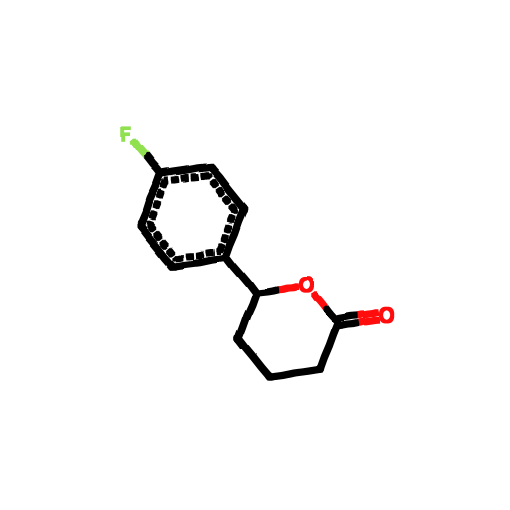 O=C1CCCC(c2ccc(F)cc2)O1